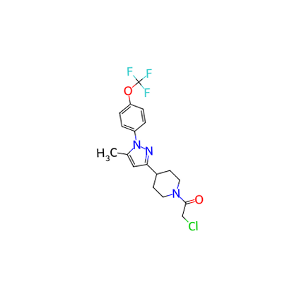 Cc1cc(C2CCN(C(=O)CCl)CC2)nn1-c1ccc(OC(F)(F)F)cc1